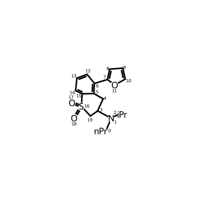 CCCN(C(C)C)C1Cc2c(-c3ccco3)cccc2S(=O)(=O)C1